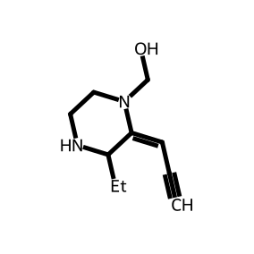 C#C/C=C1\C(CC)NCCN1CO